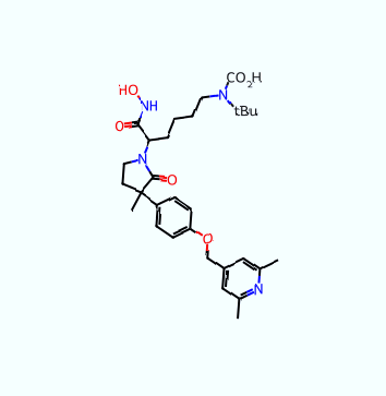 Cc1cc(COc2ccc(C3(C)CCN(C(CCCCN(C(=O)O)C(C)(C)C)C(=O)NO)C3=O)cc2)cc(C)n1